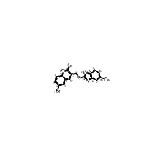 O=c1oc2ccc(Br)cc2cc1CSc1nc2cc(F)ccc2[nH]1